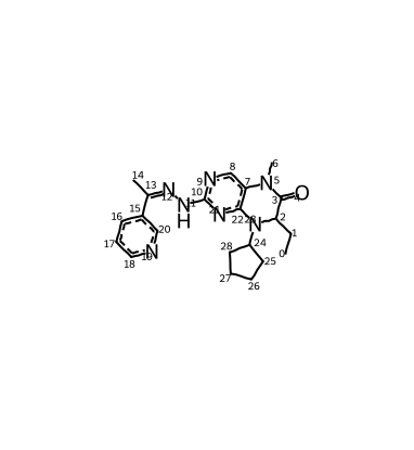 CCC1C(=O)N(C)c2cnc(NN=C(C)c3cccnc3)nc2N1C1CCCC1